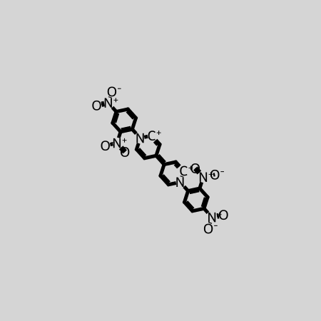 O=[N+]([O-])c1ccc(N2[C+]=CC(=C3C=[C+]N(c4ccc([N+](=O)[O-])cc4[N+](=O)[O-])C=C3)C=C2)c([N+](=O)[O-])c1